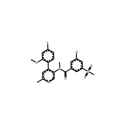 COc1cc(F)ccc1-c1cc(C)ncc1N(C)C(=O)c1cc(Cl)cc(S(C)(=O)=O)c1